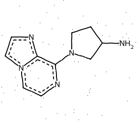 NC1CCN(c2nccn3ccnc23)C1